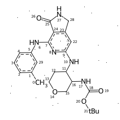 Cc1cccc(Nc2nc(NC3CCOCC3NC(=O)OC(C)(C)C)cc3c2C(=O)NC3)c1